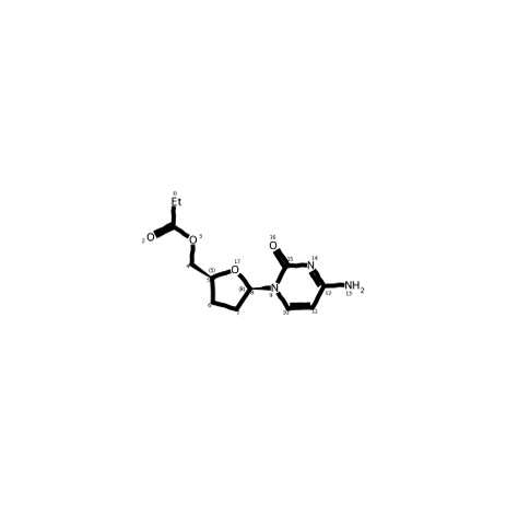 CCC(=O)OC[C@@H]1CC[C@H](n2ccc(N)nc2=O)O1